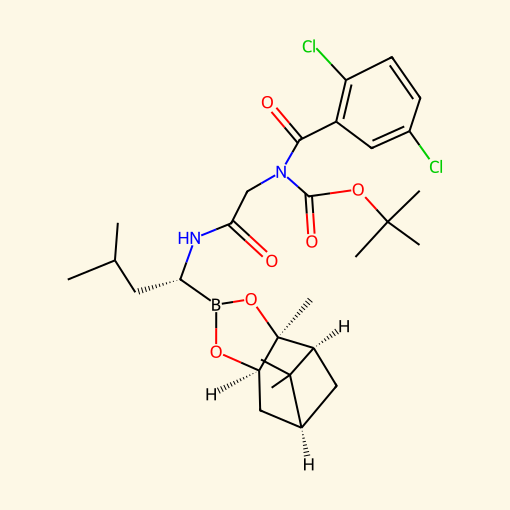 CC(C)C[C@H](NC(=O)CN(C(=O)OC(C)(C)C)C(=O)c1cc(Cl)ccc1Cl)B1O[C@@H]2C[C@@H]3C[C@@H](C3(C)C)[C@]2(C)O1